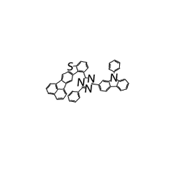 c1ccc(-c2nc(-c3ccc4c5ccccc5n(-c5ccccc5)c4c3)nc(-c3cccc4sc5cc6c(cc5c34)-c3cccc4cccc-6c34)n2)cc1